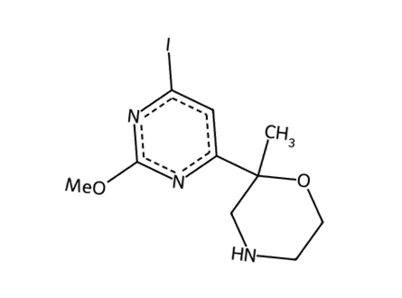 COc1nc(I)cc(C2(C)CNCCO2)n1